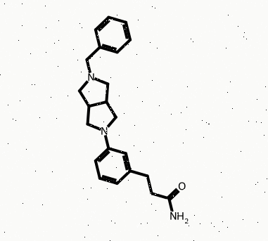 NC(=O)CCc1cccc(N2CC3CN(Cc4ccccc4)CC3C2)c1